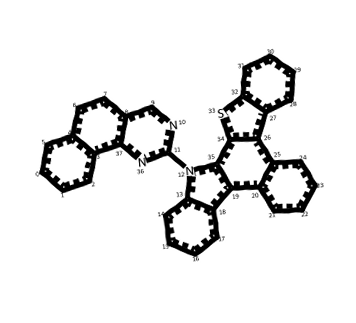 c1ccc2c(c1)ccc1cnc(-n3c4ccccc4c4c5ccccc5c5c6ccccc6sc5c43)nc12